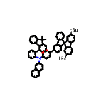 CC(C)(C)c1ccc2c(c1)C1(c3ccccc3-c3cc(-c4ccc(N(c5ccc6ccccc6c5)c5ccccc5-c5cccc6c5-c5ccccc5C6(C)C)cc4)ccc31)c1cc(C(C)(C)C)ccc1-2